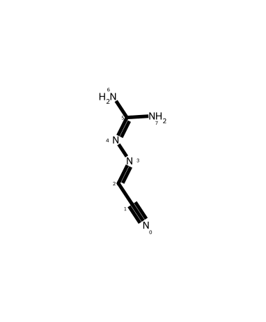 N#C/C=N/N=C(N)N